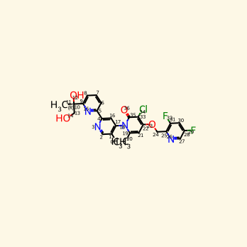 Cc1cnc(-c2cccc([C@@](C)(O)CO)n2)cc1-n1c(C)cc(OCc2ncc(F)cc2F)c(Cl)c1=O